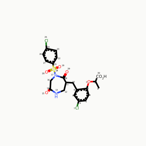 CC(Oc1ccc(Cl)cc1CC1CNC(=O)CN(S(=O)(=O)c2ccc(Cl)cc2)C1=O)C(=O)O